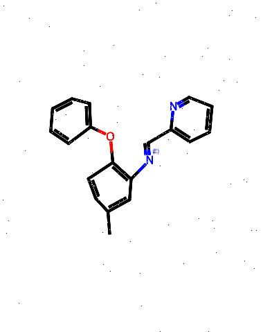 Cc1ccc(Oc2ccccc2)c(/N=C/c2ccccn2)c1